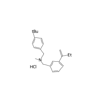 C=C(CC)c1cccc(CN(C)Cc2ccc(C(C)(C)C)cc2)c1.Cl